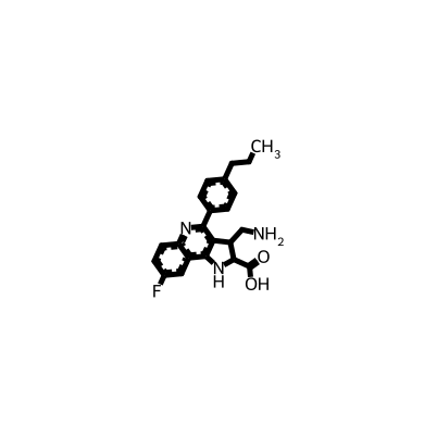 CCCc1ccc(-c2nc3ccc(F)cc3c3c2C(CN)C(C(=O)O)N3)cc1